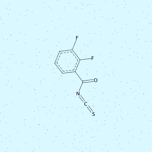 O=C(N=C=S)c1cccc(F)c1F